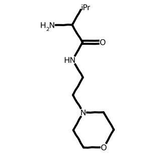 CC(C)C(N)C(=O)NCCN1CCOCC1